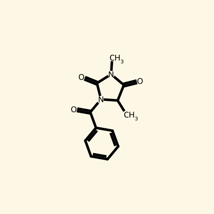 CC1C(=O)N(C)C(=O)N1C(=O)c1ccccc1